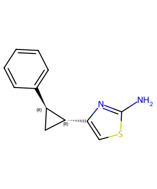 Nc1nc([C@@H]2C[C@H]2c2ccccc2)cs1